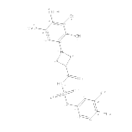 CCc1c(C#N)c(N2CC(C(=O)NS(=O)(=O)Cc3ccc(F)c(F)c3)C2)nc(OC)c1C(=O)O